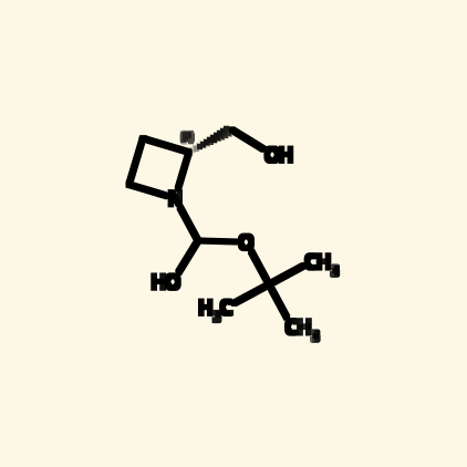 CC(C)(C)OC(O)N1CC[C@@H]1CO